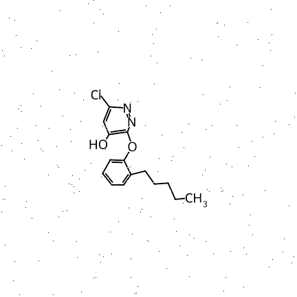 CCCCCc1ccccc1Oc1nnc(Cl)cc1O